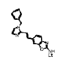 CCNc1nc2ccc(C=Cc3nccn3Cc3ccccc3)cc2o1